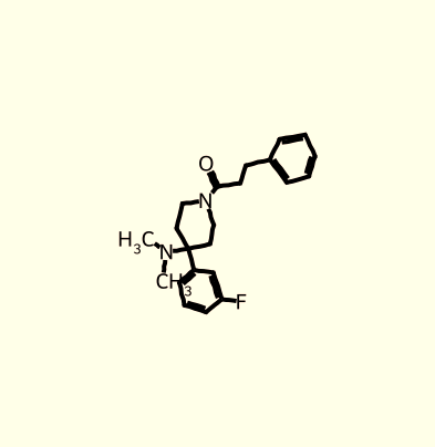 CN(C)C1(c2cccc(F)c2)CCN(C(=O)CCc2ccccc2)CC1